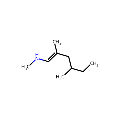 CCC(C)CC(C)=CNC